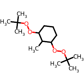 CC1C(OOC(C)(C)C)CCCC1OOC(C)(C)C